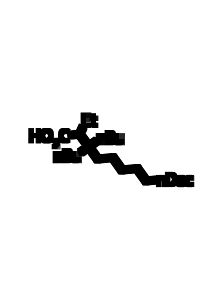 CCCCCCCCCCCCCCCC(CCCC)(CCCC)[C](CC)C(=O)O